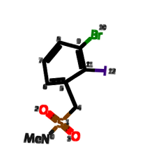 CNS(=O)(=O)Cc1cccc(Br)c1I